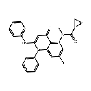 Cc1cc2c(c(N(C)C(=O)C3CC3)n1)c(=O)cc(Nc1ccccc1)n2-c1ccccc1